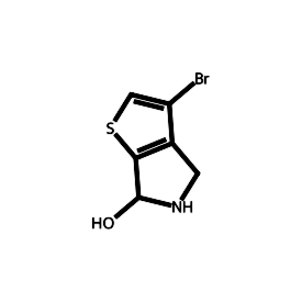 OC1NCc2c(Br)csc21